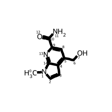 Cn1ccc2c(CO)cc(C(N)=O)nc21